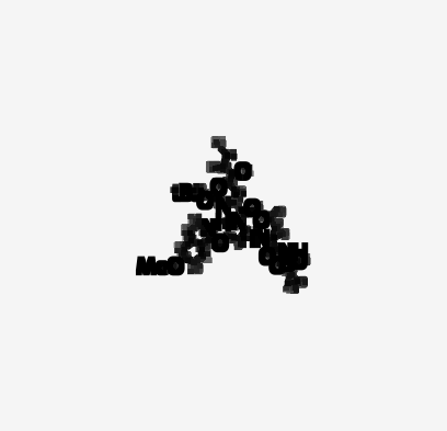 C=CC1C[C@]1(NC(=O)[C@@H]1C[C@@H](Oc2nccc3cc(OC)ccc23)CN1C(=O)[C@H](CCC(=O)/C(C)=C/C)NC(=O)OC(C)(C)C)C(=O)NS(=O)(=O)C1CC1